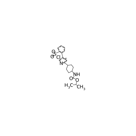 CC(C)OC(=O)NC1CCC(c2ncc(-c3ccccc3S(=O)(=O)Cl)s2)CC1